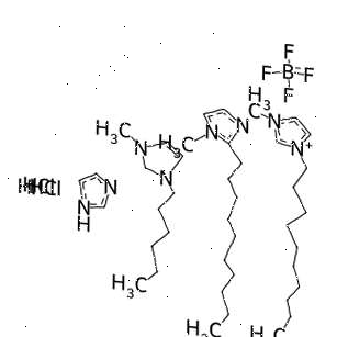 CCCCCCCCCC[n+]1ccn(C)c1.CCCCCCCCCCc1nccn1C.CCCCCCN1C=CN(C)C1.Cl.Cl.F[B-](F)(F)F.I.c1c[nH]cn1